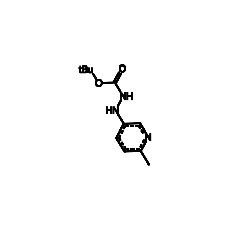 Cc1ccc(NNC(=O)OC(C)(C)C)cn1